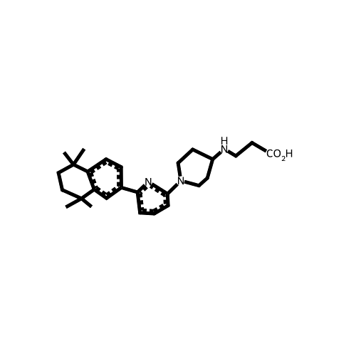 CC1(C)CCC(C)(C)c2cc(-c3cccc(N4CCC(NCCC(=O)O)CC4)n3)ccc21